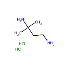 CC(C)(N)CCN.Cl.Cl